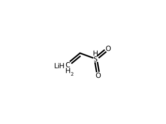 C=C[SH](=O)=O.[LiH]